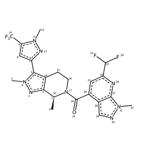 C[C@H]1c2nn(C)c(-c3cc(C(F)(F)F)n(C)n3)c2CCN1C(=O)c1cc(C(F)F)nc2c1cnn2C